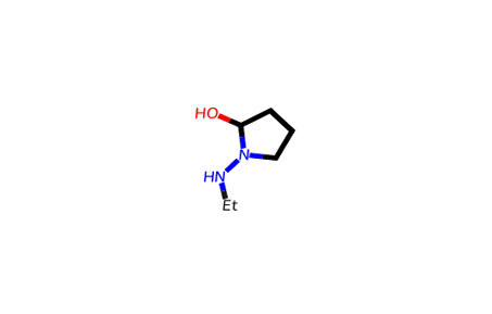 CCNN1CCCC1O